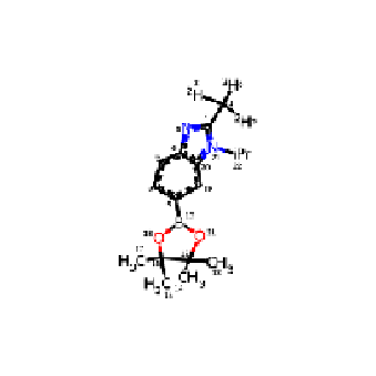 [2H]C([2H])([2H])c1nc2ccc(B3OC(C)(C)C(C)(C)O3)cc2n1C(C)C